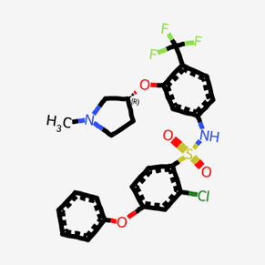 CN1CC[C@@H](Oc2cc(NS(=O)(=O)c3ccc(Oc4ccccc4)cc3Cl)ccc2C(F)(F)F)C1